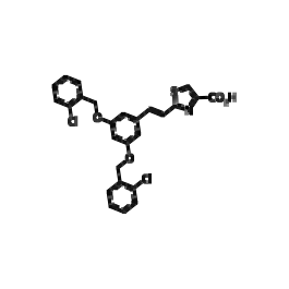 O=C(O)c1csc(/C=C/c2cc(OCc3ccccc3Cl)cc(OCc3ccccc3Cl)c2)n1